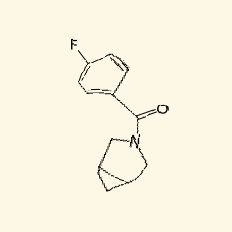 O=C(c1ccc(F)cc1)N1CC2CC2C1